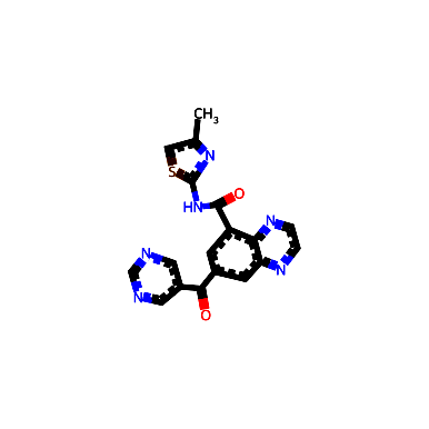 Cc1csc(NC(=O)c2cc(C(=O)c3cncnc3)cc3nccnc23)n1